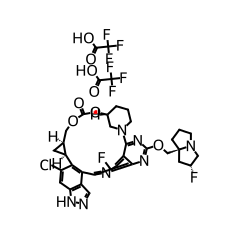 O=C(O)C(F)(F)F.O=C(O)C(F)(F)F.O=C1OC[C@@H]2C[C@@H]2c2c(Cl)cc3[nH]ncc3c2-c2ncc3c(nc(OC[C@@]45CCCN4C[C@H](F)C5)nc3c2F)N2CCC[C@H](C2)O1